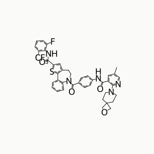 Cc1cnc(N2CCC3(CC2)COC3)c(C(=O)Nc2ccc(C(=O)N3CCc4cc(C(=O)Nc5c(F)cccc5C(F)(F)F)sc4-c4ccccc43)cc2)c1